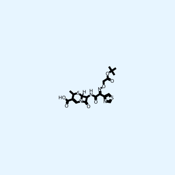 CC1S[C@@H]2C(NC(=O)C(=NOCC(=O)OC(C)(C)C)c3cscn3)C(=O)N2C=C1C(=O)O